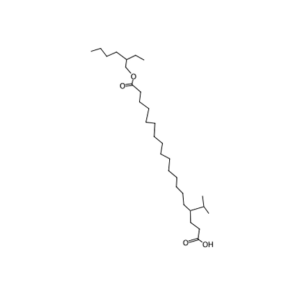 CCCCC(CC)COC(=O)CCCCCCCCCCCCCCC(CCC(=O)O)C(C)C